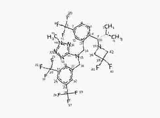 CC(C)[C@@H](c1ccc(C(F)(F)F)cc1CN(Cc1cc(C(F)(F)F)cc(C(F)(F)F)c1)c1nnn(C)n1)N1CC(F)(F)C1